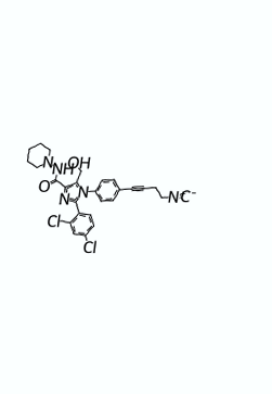 [C-]#[N+]CCC#Cc1ccc(-n2c(-c3ccc(Cl)cc3Cl)nc(C(=O)NN3CCCCC3)c2CO)cc1